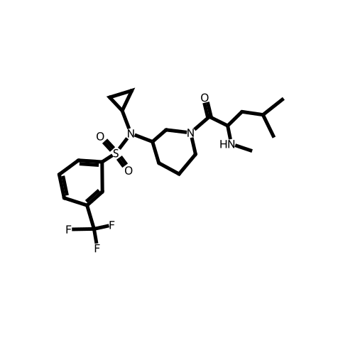 CNC(CC(C)C)C(=O)N1CCCC(N(C2CC2)S(=O)(=O)c2cccc(C(F)(F)F)c2)C1